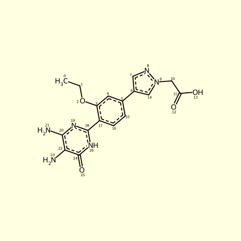 CCOc1cc(-c2cnn(CC(=O)O)c2)ccc1-c1nc(N)c(N)c(=O)[nH]1